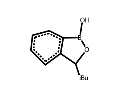 CCC(C)C1OB(O)c2ccccc21